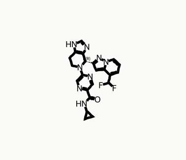 O=C(NC1CC1)c1cnc(N2CCc3[nH]cnc3[C@@H]2c2cc3c(C(F)F)cccn3n2)cn1